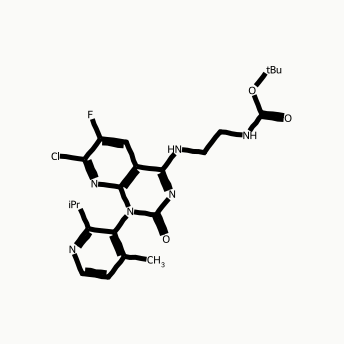 Cc1ccnc(C(C)C)c1-n1c(=O)nc(NCCNC(=O)OC(C)(C)C)c2cc(F)c(Cl)nc21